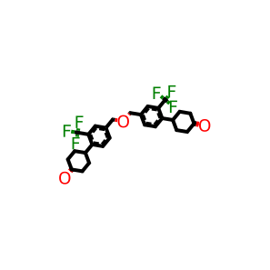 O=C1CCC(c2ccc(COCc3ccc(C4CCC(=O)CC4)c(C(F)(F)F)c3)cc2C(F)(F)F)CC1